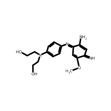 COC1=CC(=Nc2ccc(N(CCO)CCO)cc2)C(N)=CC1=N